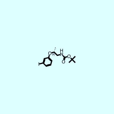 C[C@H](CNC(=O)OC(C)(C)C)Oc1cccc(I)c1